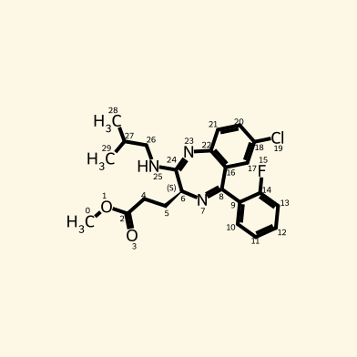 COC(=O)CC[C@@H]1N=C(c2ccccc2F)c2cc(Cl)ccc2N=C1NCC(C)C